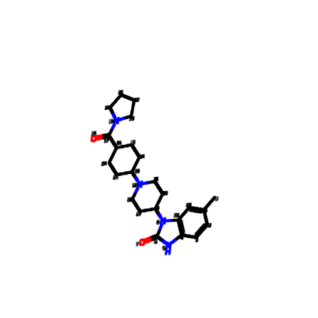 Cc1ccc2[nH]c(=O)n(C3CCN(C4CCC(C(=O)N5CCCC5)CC4)CC3)c2c1